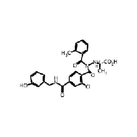 Cc1ccccc1C(=O)N(N[C@@H](C)C(=O)O)C(=O)c1ccc(C(=O)NCc2cccc(O)c2)cc1Cl